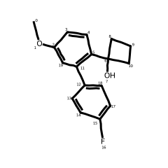 COc1ccc(C2(O)CCC2)c(-c2ccc(F)cc2)c1